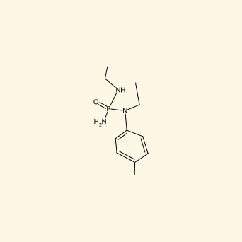 CCNP(N)(=O)N(CC)c1ccc(C)cc1